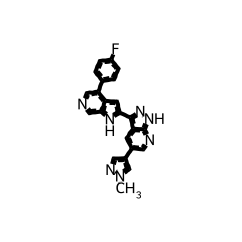 Cn1cc(-c2cnc3[nH]nc(-c4cc5c(-c6ccc(F)cc6)cncc5[nH]4)c3c2)cn1